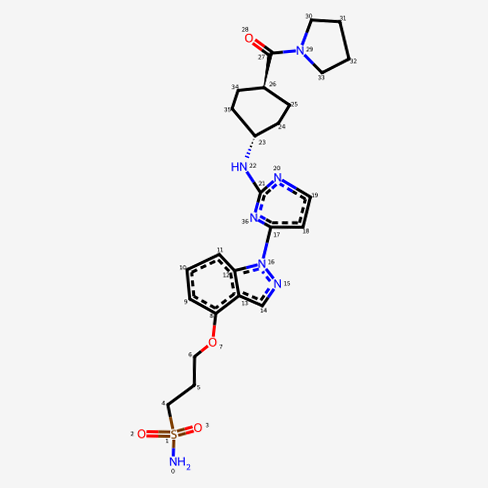 NS(=O)(=O)CCCOc1cccc2c1cnn2-c1ccnc(N[C@H]2CC[C@H](C(=O)N3CCCC3)CC2)n1